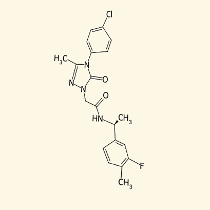 Cc1ccc([C@H](C)NC(=O)Cn2nc(C)n(-c3ccc(Cl)cc3)c2=O)cc1F